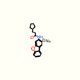 COc1cc2c(cc1NC(=O)CCC1CCCC1)oc1ccccc12